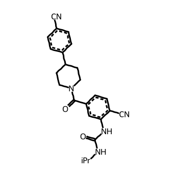 CC(C)NC(=O)Nc1cc(C(=O)N2CCC(c3ccc(C#N)cc3)CC2)ccc1C#N